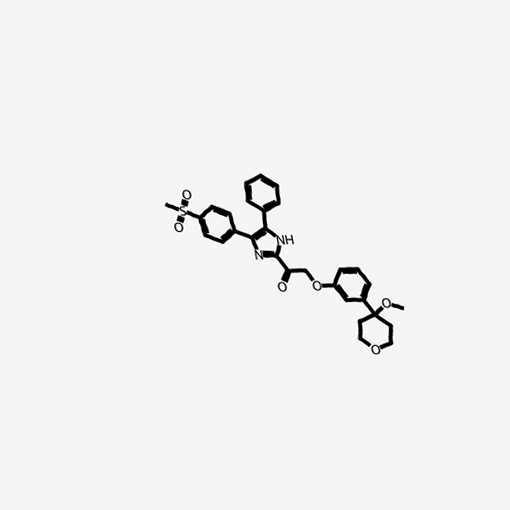 COC1(c2cccc(OCC(=O)c3nc(-c4ccc(S(C)(=O)=O)cc4)c(-c4ccccc4)[nH]3)c2)CCOCC1